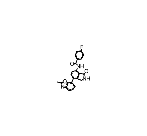 Cc1nc2cccc(-c3ccc(NC(=O)c4ccc(F)cc4)c4c3CNC4=O)c2o1